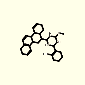 COC1NC(C2=C(O)CCCC2)NC(C2CC3C4=C(C=CC3C3C=CCCC32)CCC=C4)N1